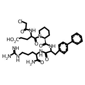 N=C(N)NCCCC(NC(=O)C(Cc1ccc(-c2ccccc2)cc1)NC(=O)[C@@H]1CCCCN1C(=O)C(CCC(=O)O)NC(=O)CCl)C(N)=O